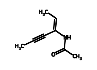 CC#C/C(=C\C)NC(C)=O